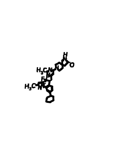 Cc1ccn(-c2cc(C3CCCCC3)ccc2[C@@H](Cc2cc(N3CCC4(CC3)CN[C@H](C=O)C4)nc(C)n2)C(F)(F)F)n1